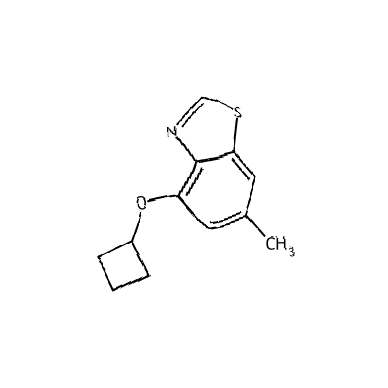 Cc1cc(OC2CCC2)c2ncsc2c1